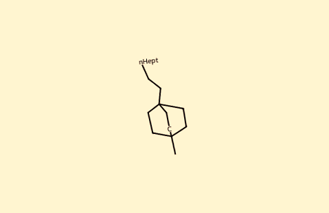 CCCCCCCCCC12CCC(C)(CC1)CC2